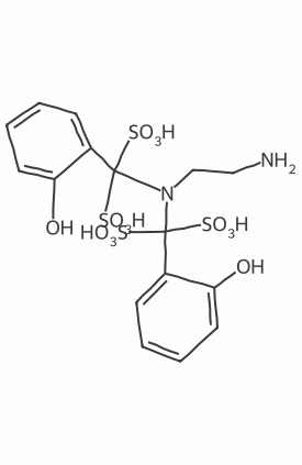 NCCN(C(c1ccccc1O)(S(=O)(=O)O)S(=O)(=O)O)C(c1ccccc1O)(S(=O)(=O)O)S(=O)(=O)O